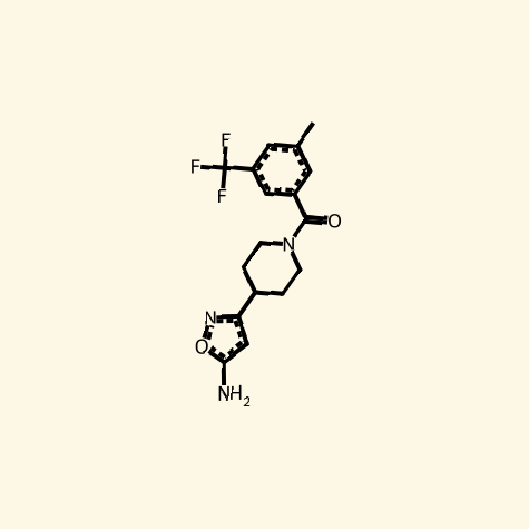 Cc1cc(C(=O)N2CCC(c3cc(N)on3)CC2)cc(C(F)(F)F)c1